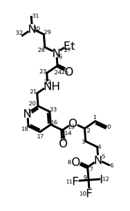 C=CC(CCN(C)C(=O)C(F)(F)I)OC(=O)c1ccnc(CNCC(=O)N(CC)CCN(C)C)c1